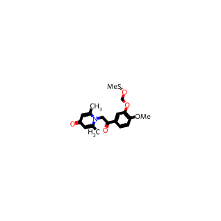 COc1ccc(C(=O)Cn2c(C)cc(=O)cc2C)cc1OCOSC